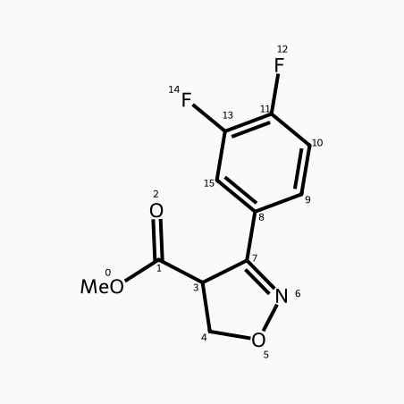 COC(=O)C1CON=C1c1ccc(F)c(F)c1